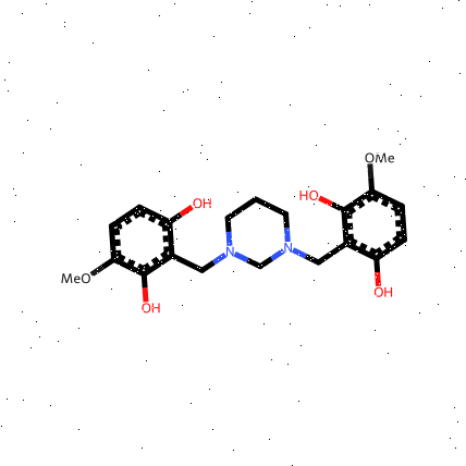 COc1ccc(O)c(CN2CCCN(Cc3c(O)ccc(OC)c3O)C2)c1O